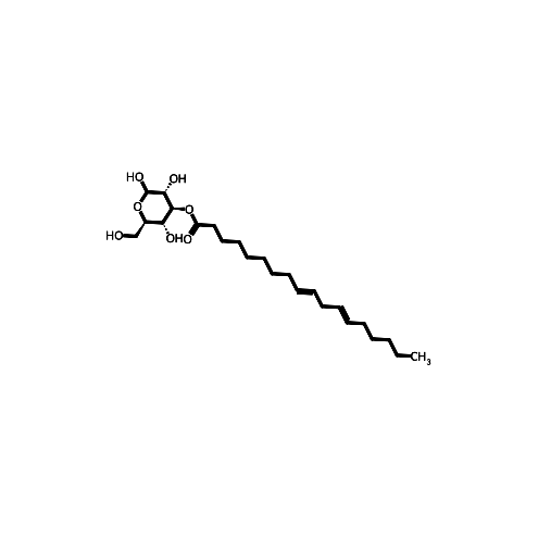 CCCCC/C=C/C/C=C/CCCCCCCC(=O)O[C@H]1[C@H](O)[C@@H](CO)OC(O)[C@@H]1O